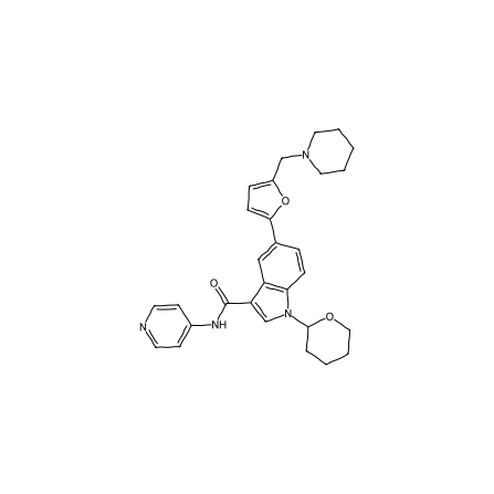 O=C(Nc1ccncc1)c1cn(C2CCCCO2)c2ccc(-c3ccc(CN4CCCCC4)o3)cc12